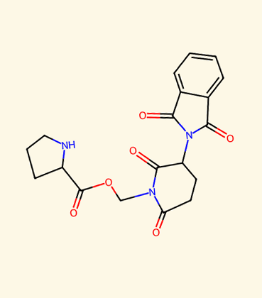 O=C(OCN1C(=O)CCC(N2C(=O)c3ccccc3C2=O)C1=O)C1CCCN1